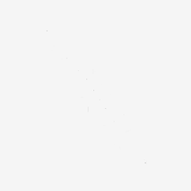 FC(F)(c1ccc(Br)cc1)C(F)(F)C(F)(F)C(F)(F)C(F)(F)C(F)(F)c1ccc(Br)cc1